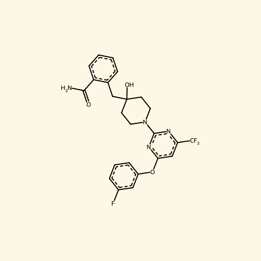 NC(=O)c1ccccc1CC1(O)CCN(c2nc(Oc3cccc(F)c3)cc(C(F)(F)F)n2)CC1